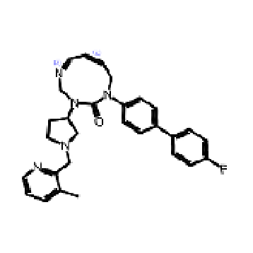 Cc1cccnc1CN1CCC(N2C/N=C\C=C/CN(c3ccc(-c4ccc(F)cc4)cc3)C2=O)C1